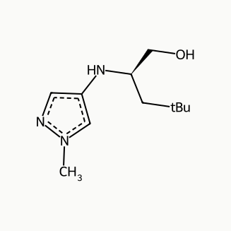 Cn1cc(N[C@@H](CO)CC(C)(C)C)cn1